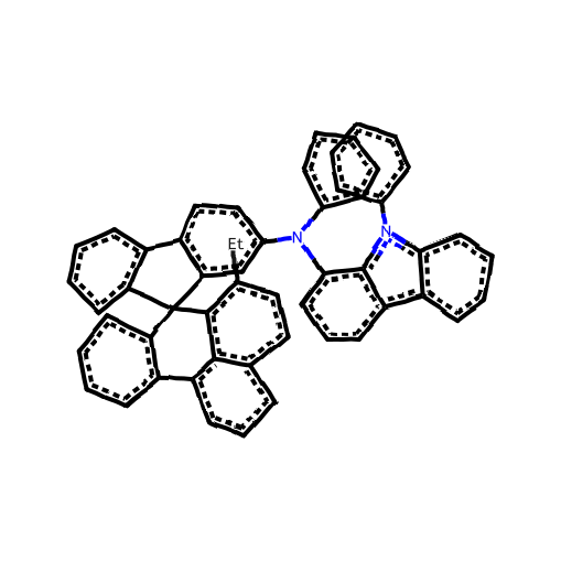 CCc1ccc2cccc3c2c1C1(c2ccccc2-c2ccc(N(c4ccccc4)c4cccc5c6ccccc6n(-c6ccccc6)c45)cc21)c1ccccc1-3